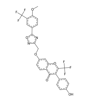 COc1ccc(-c2nc(COc3ccc4c(=O)c(-c5ccc(O)cc5)c(C(F)(F)F)oc4c3)no2)cc1C(F)(F)F